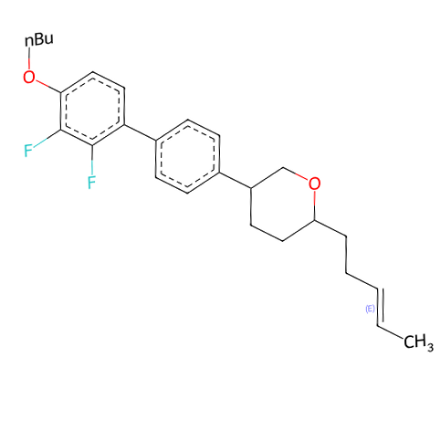 C/C=C/CCC1CCC(c2ccc(-c3ccc(OCCCC)c(F)c3F)cc2)CO1